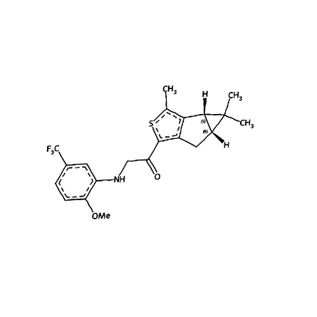 COc1ccc(C(F)(F)F)cc1NCC(=O)c1sc(C)c2c1C[C@@H]1[C@H]2C1(C)C